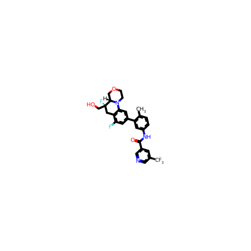 Cc1ccc(NC(=O)c2cncc(C(F)(F)F)c2)cc1-c1cc(F)c2c(c1)N1CCOC[C@H]1[C@@](F)(CO)C2